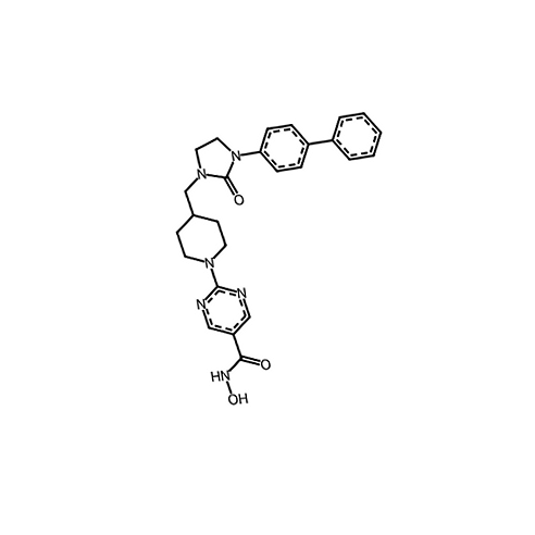 O=C(NO)c1cnc(N2CCC(CN3CCN(c4ccc(-c5ccccc5)cc4)C3=O)CC2)nc1